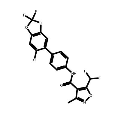 Cc1noc(C(F)F)c1C(=O)Nc1ccc(-c2cc3c(cc2Cl)OC(F)(F)O3)cc1